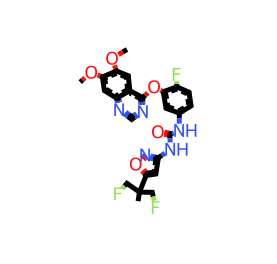 COc1cc2ncnc(Oc3cc(NC(=O)Nc4cc(C(C)(CF)CF)on4)ccc3F)c2cc1OC